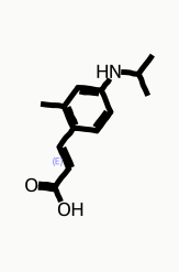 Cc1cc(NC(C)C)ccc1/C=C/C(=O)O